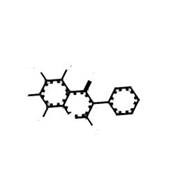 COc1c(O)c(O)c2oc(O)c(-c3ccccc3)c(=O)c2c1O